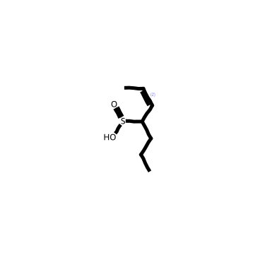 C/C=C\C(CCC)S(=O)O